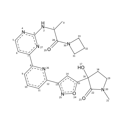 CC(Nc1nccc(-c2cccc(-c3cc(C4(O)CCN(C)C4=O)on3)n2)n1)C(=O)N1CCC1